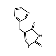 O=c1[nH]c(=S)[nH]cc1Cc1cnccn1